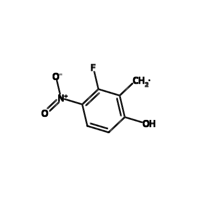 [CH2]c1c(O)ccc([N+](=O)[O-])c1F